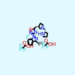 CC(C)c1nn(-c2noc(C[C@H]3CCN(C[C@@H]4CCCN4)C3)n2)c2c(F)cccc12.O=C(O)C(F)(F)F.O=C(O)C(F)(F)F